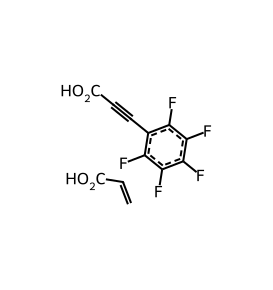 C=CC(=O)O.O=C(O)C#Cc1c(F)c(F)c(F)c(F)c1F